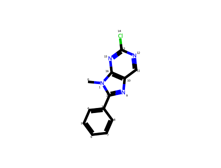 Cn1c(-c2ccccc2)nc2cnc(Cl)nc21